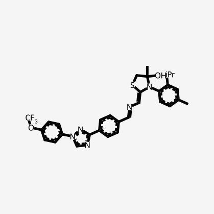 Cc1ccc(N2/C(=C/N=C/c3ccc(-c4ncn(-c5ccc(OC(F)(F)F)cc5)n4)cc3)SCC2(C)O)c(C(C)C)c1